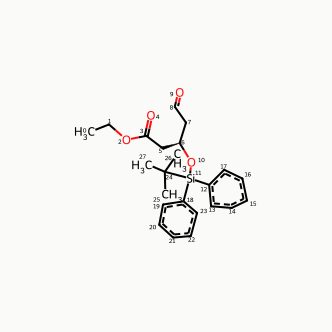 CCOC(=O)C[C@@H](CC=O)O[Si](c1ccccc1)(c1ccccc1)C(C)(C)C